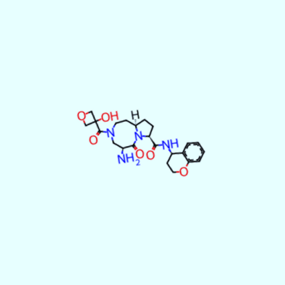 N[C@H]1CN(C(=O)C2(O)COC2)CC[C@H]2CC[C@@H](C(=O)N[C@@H]3CCOc4ccccc43)N2C1=O